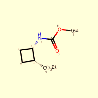 CCOC(=O)[C@@H]1CC[C@@H]1NC(=O)OC(C)(C)C